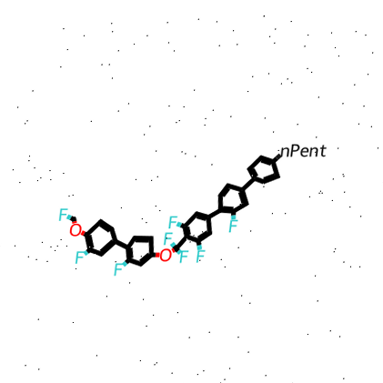 CCCCCc1ccc(-c2ccc(-c3cc(F)c(C(F)(F)Oc4ccc(-c5ccc(OCF)c(F)c5)c(F)c4)c(F)c3)c(F)c2)cc1